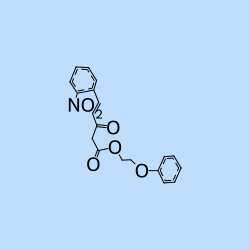 O=C(C=Cc1ccccc1[N+](=O)[O-])CC(=O)OCCOc1ccccc1